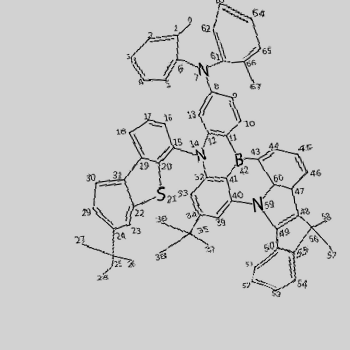 Cc1ccccc1N(c1ccc2c(c1)N(c1cccc3c1sc1cc(C(C)(C)C)ccc13)c1cc(C(C)(C)C)cc3c1B2C1=CC=CC2C4=C(c5ccccc5C4(C)C)N3C12)c1ccccc1C